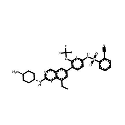 CCc1cc(-c2ccc(NS(=O)(=O)c3ccccc3C#N)nc2OC(F)(F)F)cc2cnc(N[C@H]3CC[C@H](N)CC3)nc12